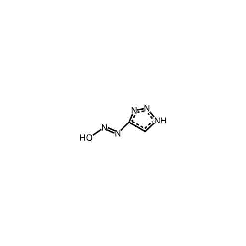 ON=Nc1c[nH]nn1